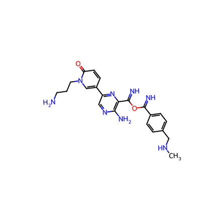 CNCc1ccc(C(=N)OC(=N)c2nc(-c3ccc(=O)n(CCCN)c3)cnc2N)cc1